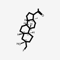 CC(=O)C1CC[C@H]2[C@@H]3CC[C@H]4C[C@@](O)(CF)CC[C@@H]4[C@H]3CC[C@]12C